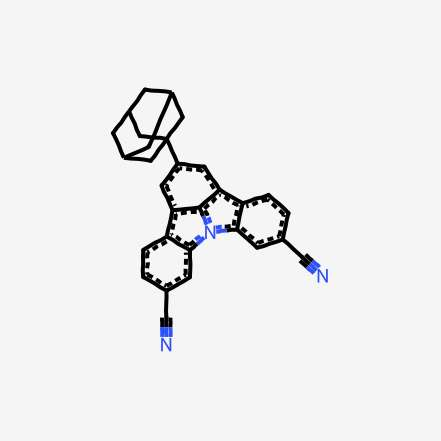 N#Cc1ccc2c3cc(C45CC6CC(CC(C6)C4)C5)cc4c5ccc(C#N)cc5n(c2c1)c34